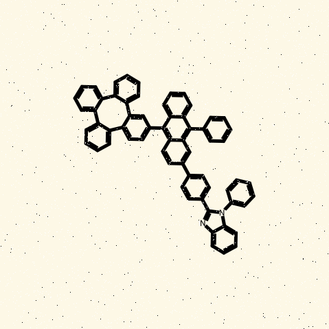 c1ccc(-c2c3ccccc3c(-c3ccc4c(c3)-c3ccccc3-c3ccccc3-c3ccccc3-4)c3ccc(-c4ccc(-c5nc6ccccc6n5-c5ccccc5)cc4)cc23)cc1